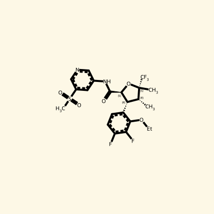 CCOc1c([C@@H]2[C@@H](C(=O)Nc3cncc(S(C)(=O)=O)c3)O[C@](C)(C(F)(F)F)[C@@H]2C)ccc(F)c1F